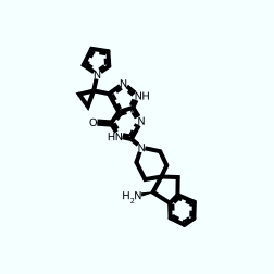 N[C@@H]1c2ccccc2CC12CCN(c1nc3[nH]nc(C4(n5cccc5)CC4)c3c(=O)[nH]1)CC2